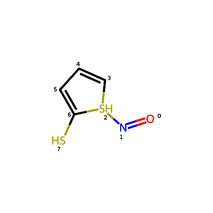 O=N[SH]1C=CC=C1S